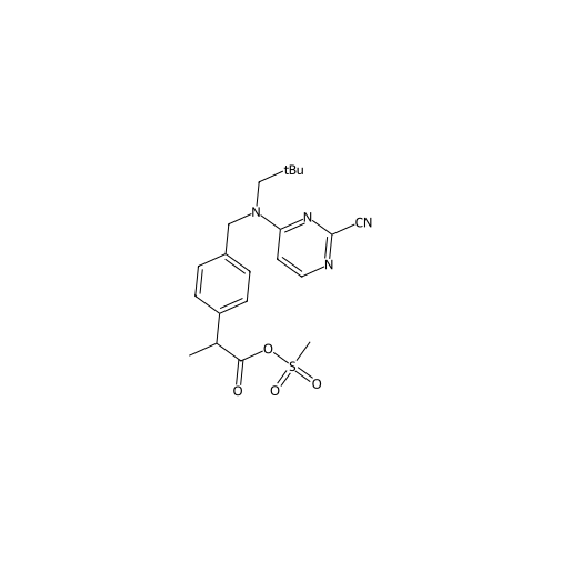 CC(C(=O)OS(C)(=O)=O)c1ccc(CN(CC(C)(C)C)c2ccnc(C#N)n2)cc1